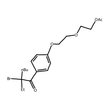 CCCCC(Br)(CC)C(=O)c1ccc(OCCOCCOC(C)=O)cc1